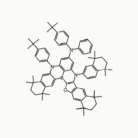 CC(C)(C)c1ccc(N(c2ccccc2)c2cc3c4c(c2)N(c2ccc5c(c2)C(C)(C)CCC5(C)C)c2c(oc5cc6c(cc25)C(C)(C)CCC6(C)C)B4c2cc4c(cc2N3c2ccc(C(C)(C)C)cc2)C(C)(C)CCC4(C)C)cc1